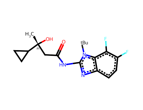 CC(C)(C)n1c(NC(=O)C[C@@](C)(O)C2CC2)nc2ccc(F)c(F)c21